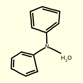 CN(c1ccccc1)c1ccccc1.O